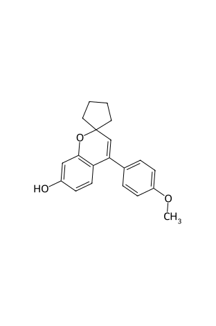 COc1ccc(C2=CC3(CCCC3)Oc3cc(O)ccc32)cc1